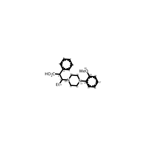 CCC(C(C(=O)O)c1ccccc1)N1CCN(c2ccccc2OC)CC1